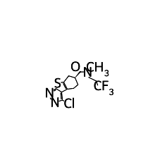 CN(CCC(F)(F)F)C(=O)[C@H]1CCc2c(sc3ncnc(Cl)c23)C1